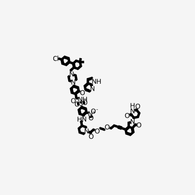 CC1(C)CCC(CN2CCN(c3ccc(C(=O)NS(=O)(=O)c4ccc(NCC5CCCN(C(=O)COCCOCCC#Cc6cccc7c6CN(C6CCC(=O)NC6=O)C7=O)C5)c([N+](=O)[O-])c4)c(Oc4cnc5[nH]ccc5c4)c3)CC2)=C(c2ccc(Cl)cc2)C1